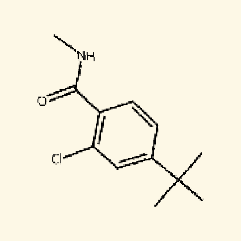 CNC(=O)c1ccc(C(C)(C)C)cc1Cl